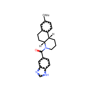 COc1ccc2c(c1)CC[C@@H]1[C@H]2CCCN1C(=O)c1ccc2[nH]cnc2c1